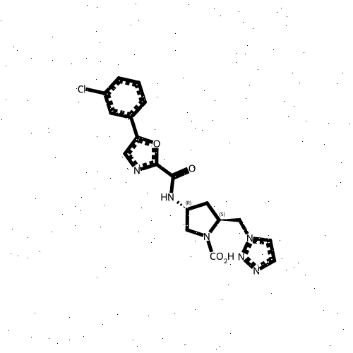 O=C(N[C@@H]1C[C@@H](Cn2ccnn2)N(C(=O)O)C1)c1ncc(-c2cccc(Cl)c2)o1